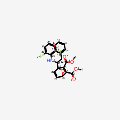 COC(=O)C1=C(C(=O)OC)C2(C(Cc3ccccc3)Nc3c(F)cccc3F)C=CC1O2